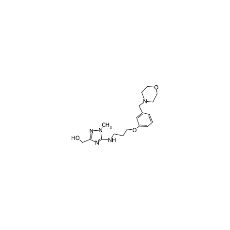 Cn1nc(CO)nc1NCCCOc1cccc(CN2CCOCC2)c1